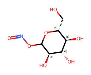 O=NOC1O[C@H](CO)[C@@H](O)[C@H](O)[C@H]1O